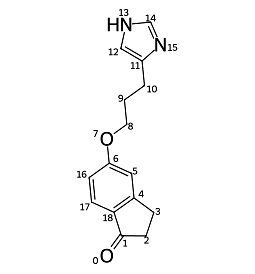 O=C1CCc2cc(OCCCc3c[nH]cn3)ccc21